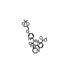 COC(=O)c1ccc2c(n1)N(C(=O)Nc1ccc(OCC3COC(C)(C)O3)cn1)[C@H]1CCCN2C1